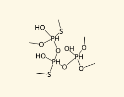 CO[PH](O)(OC)O[PH](O)(O[PH](O)(OC)SC)SC